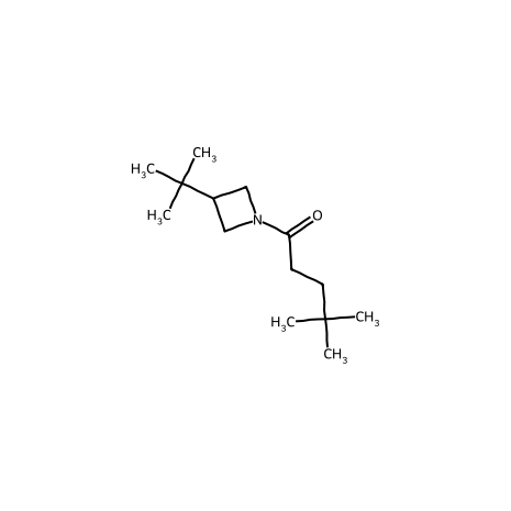 CC(C)(C)CCC(=O)N1CC(C(C)(C)C)C1